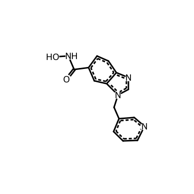 O=C(NO)c1ccc2ncn(Cc3cccnc3)c2c1